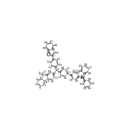 CC1(C)c2ccccc2-c2ccc(C(c3ccc(-c4ccc5c(c4)c4ccccc4n5-c4ccccc4)cc3)c3ccc(-c4cc5ccccc5o4)cc3)cc21